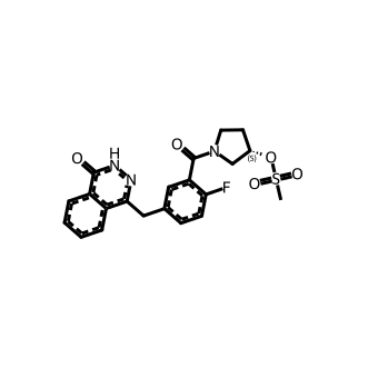 CS(=O)(=O)O[C@H]1CCN(C(=O)c2cc(Cc3n[nH]c(=O)c4ccccc34)ccc2F)C1